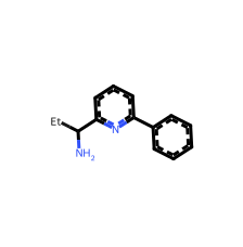 CCC(N)c1cccc(-c2ccccc2)n1